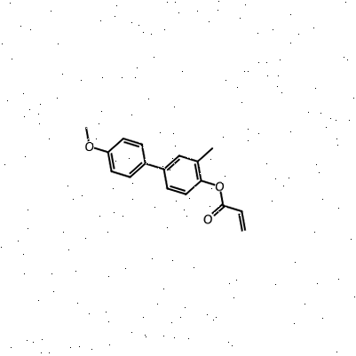 C=CC(=O)Oc1ccc(-c2ccc(OC)cc2)cc1C